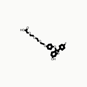 O=C(O)COCCOCCOCCOc1ccc(Oc2c(-c3ccc(F)cc3)sc3cc(O)ccc23)cc1